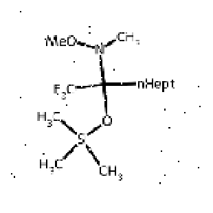 CCCCCCCC(O[Si](C)(C)C)(N(C)OC)C(F)(F)F